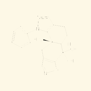 CC1(C)c2oncc2C[C@]2(C)c3c(cnn3-c3ccccc3)CC[C@@H]12